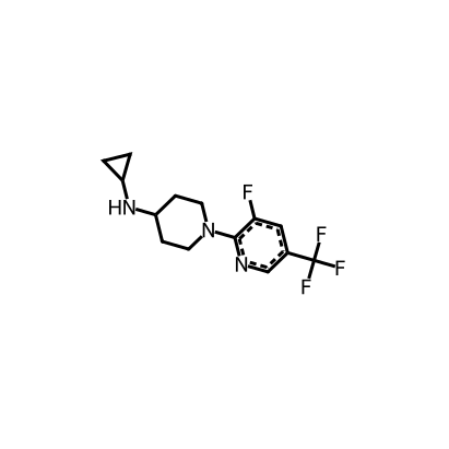 Fc1cc(C(F)(F)F)cnc1N1CCC(NC2CC2)CC1